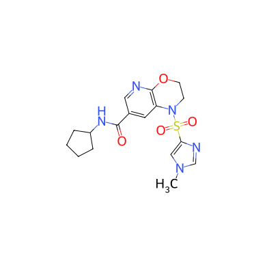 Cn1cnc(S(=O)(=O)N2CCOc3ncc(C(=O)NC4CCCC4)cc32)c1